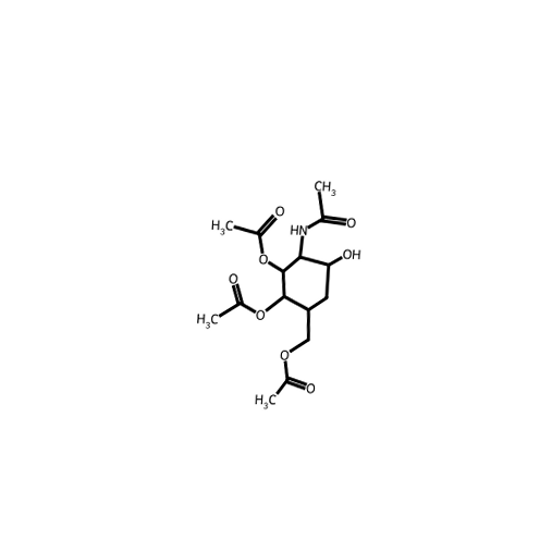 CC(=O)NC1C(O)CC(COC(C)=O)C(OC(C)=O)C1OC(C)=O